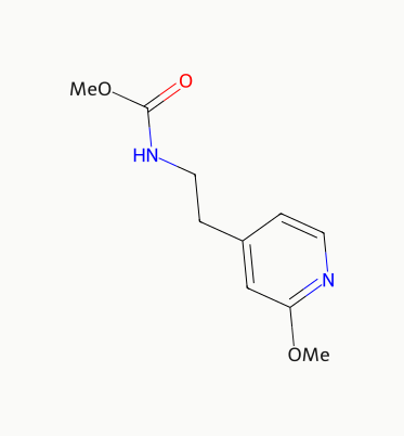 COC(=O)NCCc1ccnc(OC)c1